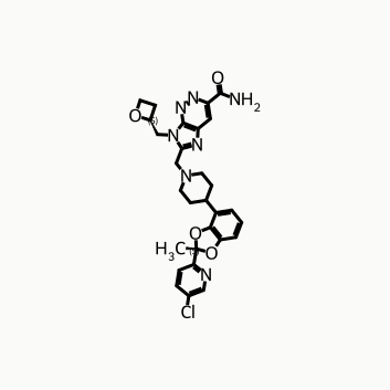 C[C@]1(c2ccc(Cl)cn2)Oc2cccc(C3CCN(Cc4nc5cc(C(N)=O)nnc5n4C[C@@H]4CCO4)CC3)c2O1